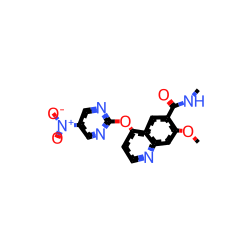 CNC(=O)c1cc2c(Oc3ncc([N+](=O)[O-])cn3)ccnc2cc1OC